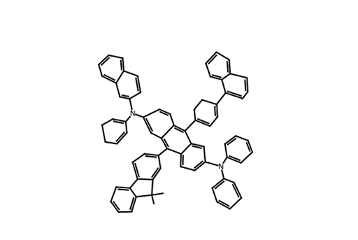 CC1(C)c2ccccc2-c2ccc(-c3c4ccc(N(c5ccccc5)c5ccccc5)cc4c(C4=CC=C(c5cccc6ccccc56)CC4)c4ccc(N(C5=CCCC=C5)c5ccc6ccccc6c5)cc34)cc21